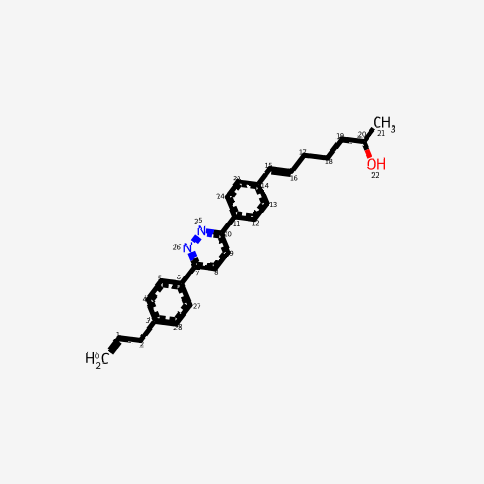 C=CCc1ccc(-c2ccc(-c3ccc(C=CCCCC(C)O)cc3)nn2)cc1